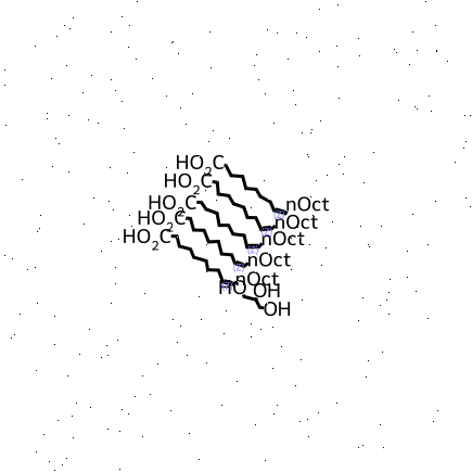 CCCCCCCC/C=C\CCCCCCCC(=O)O.CCCCCCCC/C=C\CCCCCCCC(=O)O.CCCCCCCC/C=C\CCCCCCCC(=O)O.CCCCCCCC/C=C\CCCCCCCC(=O)O.CCCCCCCC/C=C\CCCCCCCC(=O)O.OCC(O)CO